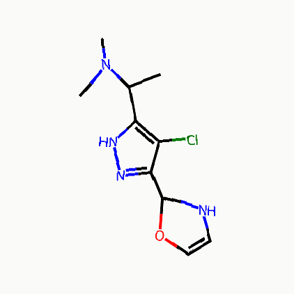 CC(c1[nH]nc(C2NC=CO2)c1Cl)N(C)C